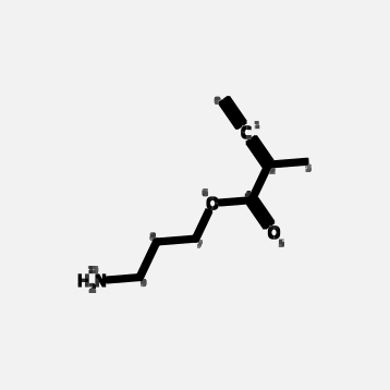 C=C=C(C)C(=O)OCCCN